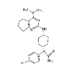 CN(C)c1nc(N[C@H]2CC[C@@H](N(C(N)=O)c3ccc(Cl)cc3)CC2)nc2c1CCCC2